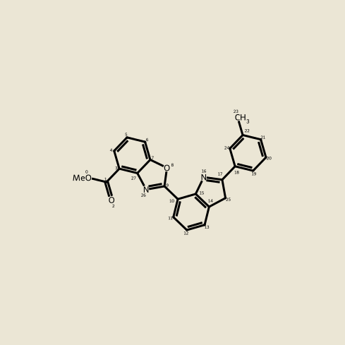 COC(=O)c1cccc2oc(-c3cccc4c3N=C(c3cccc(C)c3)C4)nc12